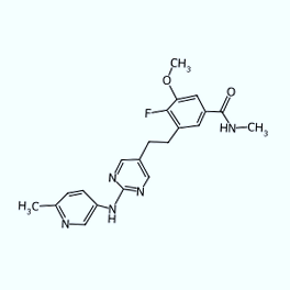 CNC(=O)c1cc(CCc2cnc(Nc3ccc(C)nc3)nc2)c(F)c(OC)c1